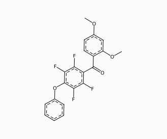 COc1ccc(C(=O)c2c(F)c(F)c(Oc3ccccc3)c(F)c2F)c(OC)c1